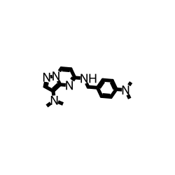 CN(C)c1ccc(CNc2ccn3ncc(N(C)C)c3n2)cc1